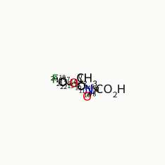 Cc1cc(N2C[C@@H](C(=O)O)CC2=O)ccc1OCc1ccc(F)cc1